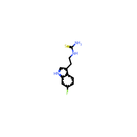 NC(=S)NCCc1c[nH]c2cc(F)ccc12